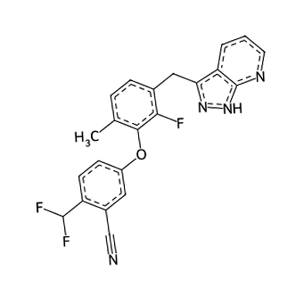 Cc1ccc(Cc2n[nH]c3ncccc23)c(F)c1Oc1ccc(C(F)F)c(C#N)c1